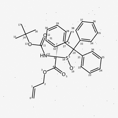 C=CCOC(=O)[C@@](CCC)(NC(=O)OC(C)(C)C)[S+]([O-])C(c1ccccc1)(c1ccccc1)c1ccccc1